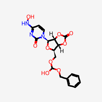 O=C1O[C@@H]2[C@H](O1)[C@@H](COC(O)OCc1ccccc1)O[C@H]2n1ccc(NO)nc1=O